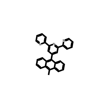 Cc1c2ccccc2c(-c2cc(-c3ccccn3)nc(-c3ccccn3)c2)c2ccccc12